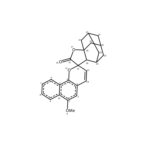 COc1cc2c(c3ccccc13)OC1(C=C2)C(=O)OC23CC4CC(CC(C4)C21)C3